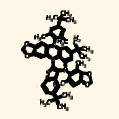 Cc1cc(C(C)(C)C)cc(C)c1N1c2cc3c(cc2B2c4sc5ccc(C(C)(C)C)cc5c4N(c4c(C)cc5c(c4C)OCO5)c4cc(C(C)(C)C)cc1c42)OCO3